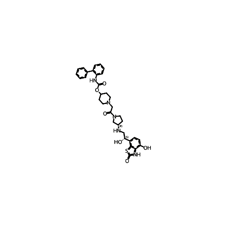 O=C(Nc1ccccc1-c1ccccc1)OC1CCN(CC(=O)N2CC[C@@H](NC[C@@H](O)c3ccc(O)c4[nH]c(=O)sc34)C2)CC1